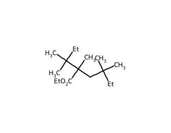 CCOC(=O)C(C)(CC(C)(C)CC)C(C)(C)CC